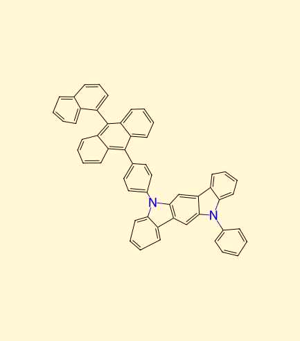 c1ccc(-n2c3ccccc3c3cc4c(cc32)c2ccccc2n4-c2ccc(-c3c4ccccc4c(-c4cccc5ccccc45)c4ccccc34)cc2)cc1